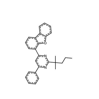 CCCC(C)(C)c1nc(-c2ccccc2)cc(-c2cccc3c2oc2ccccc23)n1